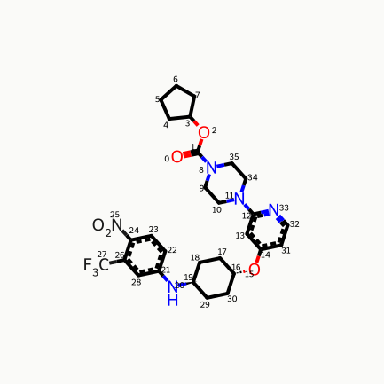 O=C(OC1CCCC1)N1CCN(c2cc(O[C@H]3CC[C@H](Nc4ccc([N+](=O)[O-])c(C(F)(F)F)c4)CC3)ccn2)CC1